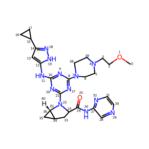 COCCN1CCN(c2nc(Nc3cc(C4CC4)n[nH]3)nc(N3C(C(=O)Nc4cnccn4)CC4C[C@@H]43)n2)CC1